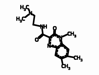 Cc1cc2nc(C(=O)NCCN(C)C)c(=O)n(C)c2cc1C